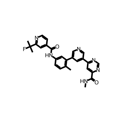 CNC(=O)c1cc(-c2cncc(-c3cc(NC(=O)c4ccnc(C(C)(C)F)c4)ccc3C)c2)ncn1